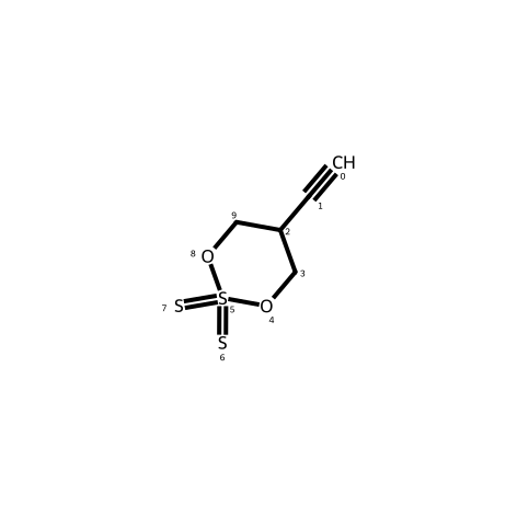 C#CC1COS(=S)(=S)OC1